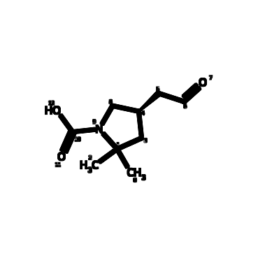 CC1(C)C[C@H](CC=O)CN1C(=O)O